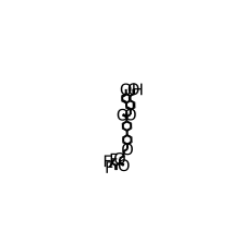 C=C(C(=O)OCCOC1CCC(C2CCC(C(=O)Oc3ccc4c(C=O)c(O)ccc4c3)CC2)CC1)C(F)(F)F